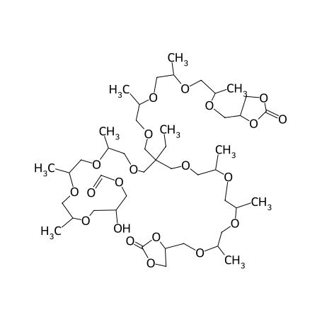 CCC(COCC(C)OCC(C)OCC(C)OCC(O)COC=O)(COCC(C)OCC(C)OCC(C)OCC1COC(=O)O1)COCC(C)OCC(C)OCC(C)OCC1COC(=O)O1